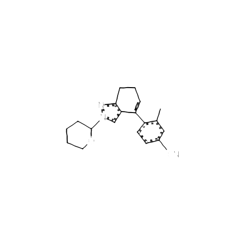 Cc1cc(C#N)ccc1C1=CCCc2nn(C3CCCCO3)cc21